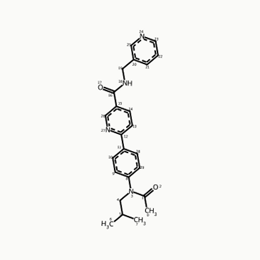 CC(=O)N(CC(C)C)c1ccc(-c2ccc(C(=O)NCc3cccnc3)cn2)cc1